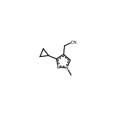 Cn1cc(CC#N)c(C2CC2)n1